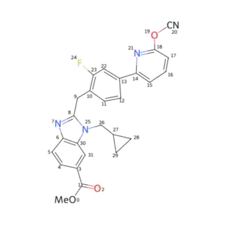 COC(=O)c1ccc2nc(Cc3ccc(-c4cccc(OC#N)n4)cc3F)n(CC3CC3)c2c1